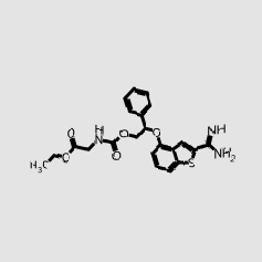 CCOC(=O)CNC(=O)OCC(Oc1cccc2sc(C(=N)N)cc12)c1ccccc1